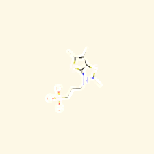 Cc1sc2c(sc(C)[n+]2CCCS(=O)(=O)[O-])c1C